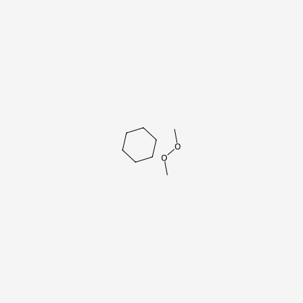 C1CCCCC1.COOC